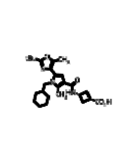 Cc1oc(C(C)(C)C)nc1-c1cc(C(=O)N[C@H]2C[C@H](C(=O)O)C2)c(C)n1CC1CCCCC1